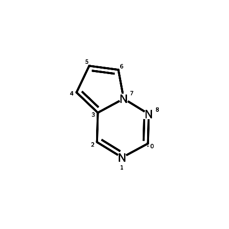 [c]1ncc2cccn2n1